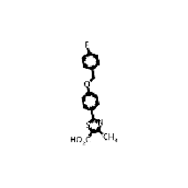 Cc1nc(-c2ccc(OCc3ccc(F)cc3)cc2)sc1C(=O)O